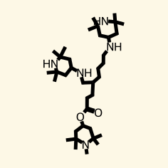 CN1C(C)(C)CC(OC(=O)CCC(CCCCNC2CC(C)(C)NC(C)(C)C2)CNC2CC(C)(C)NC(C)(C)C2)CC1(C)C